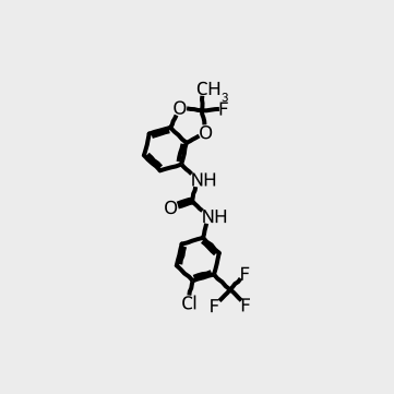 CC1(F)Oc2cccc(NC(=O)Nc3ccc(Cl)c(C(F)(F)F)c3)c2O1